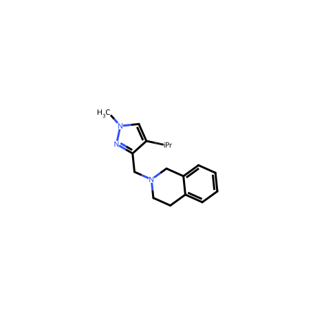 CC(C)c1cn(C)nc1CN1CCc2ccccc2C1